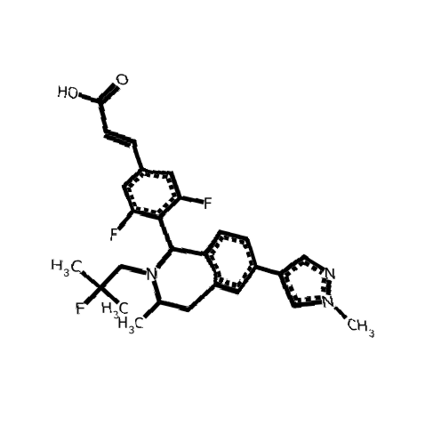 CC1Cc2cc(-c3cnn(C)c3)ccc2C(c2c(F)cc(/C=C/C(=O)O)cc2F)N1CC(C)(C)F